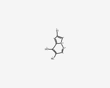 CCc1cc2c(O)c(C#N)cnn2c1